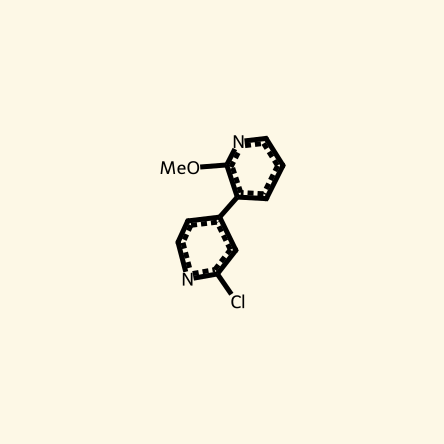 COc1ncccc1-c1ccnc(Cl)c1